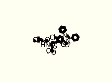 COC(=O)c1sc(-c2cc3c(cc2Cl)N(c2ccccc2)C[C@@H](C2CCCCC2)N(C)S3(=O)=O)cc1NC(=O)OCC(C)(C)OC